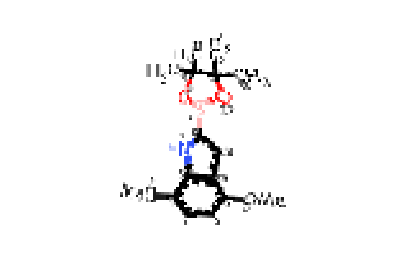 COc1ccc(OC)c2[nH]c(B3OC(C)(C)C(C)(C)O3)cc12